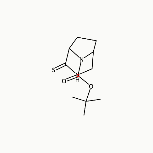 CC(C)(C)OC(=O)N1C2CCC1C(=S)NC2